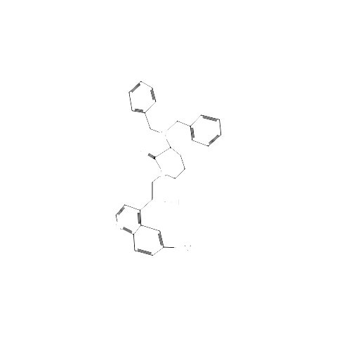 COc1ccc2nccc([C@@H](O)CN3CCCC(N(Cc4ccccc4)Cc4ccccc4)C3=O)c2c1